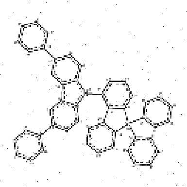 c1ccc(-c2ccc3c(c2)c2cc(-c4ccccc4)ccc2n3-c2cccc3c2-c2ccccc2[Si]3(c2ccccc2)c2ccccc2)cc1